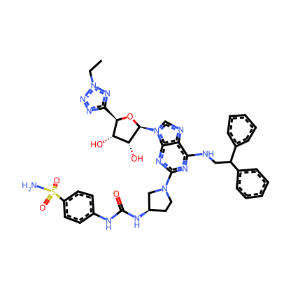 CCn1nnc([C@H]2O[C@@H](n3cnc4c(NCC(c5ccccc5)c5ccccc5)nc(N5CC[C@@H](NC(=O)Nc6ccc(S(N)(=O)=O)cc6)C5)nc43)[C@H](O)[C@@H]2O)n1